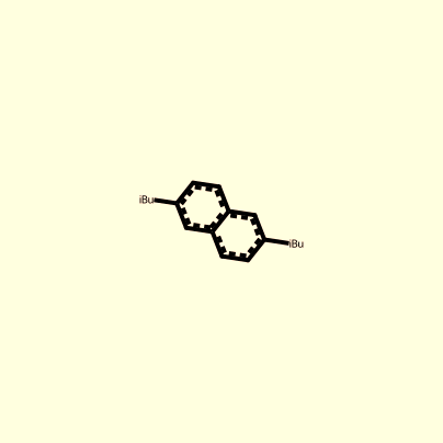 CCC(C)c1ccc2cc(C(C)CC)ccc2c1